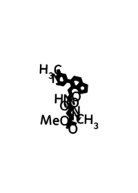 COC1(c2cc(S(=O)(=O)NC(=O)Cc3c(-c4ccnc(C)c4)ccc4c3CCC4)nn2C)COC1